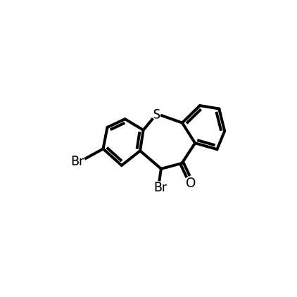 O=C1c2ccccc2Sc2ccc(Br)cc2C1Br